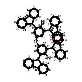 Nc1c(C2c3ccccc3-c3ccccc32)cc(Oc2cc(C3c4ccccc4-c4ccccc43)c(N)c(C3c4ccccc4-c4ccccc43)c2)cc1C1c2ccccc2-c2ccccc21